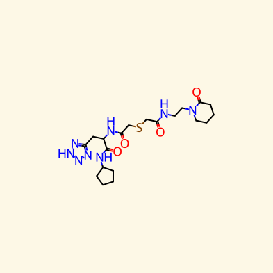 O=C(CSCC(=O)NC(Cc1nn[nH]n1)C(=O)NC1CCCC1)NCCN1CCCCC1=O